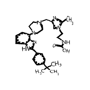 Cc1nc(CN2CCN(c3cccc4[nH]c(-c5ccc(C(C)(C)C)cc5)nc34)CC2)cn1CCNC(=O)O